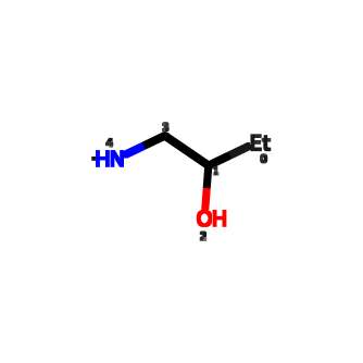 [CH2]CC(O)C[NH]